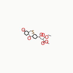 CCOC(=O)C(CC(=O)c1ccc2c(c1)SCc1cc(OC)ccc1C2=O)C(=O)OCC